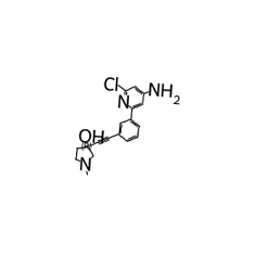 CN1CC[C@@](O)(C#Cc2cccc(-c3cc(N)cc(Cl)n3)c2)C1